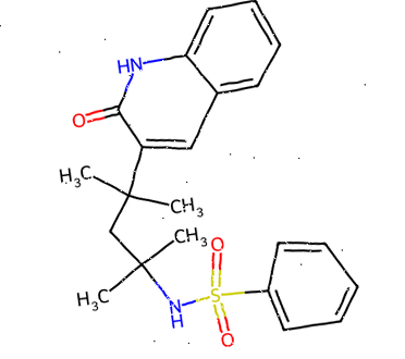 CC(C)(CC(C)(C)c1cc2ccccc2[nH]c1=O)NS(=O)(=O)c1ccccc1